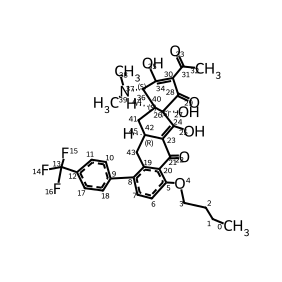 CCCCOc1ccc(-c2ccc(C(F)(F)F)cc2)c2c1C(=O)C1=C(O)[C@]3(O)C(=O)C(C(C)=O)=C(O)[C@@H](N(C)C)[C@@H]3C[C@@H]1C2